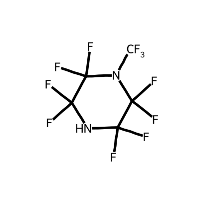 FC(F)(F)N1C(F)(F)C(F)(F)NC(F)(F)C1(F)F